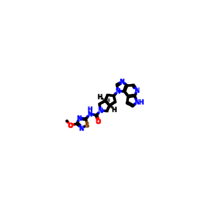 COc1nsc(NC(=O)N2C[C@H]3CC(n4cnc5cnc6[nH]ccc6c54)C[C@H]3C2)n1